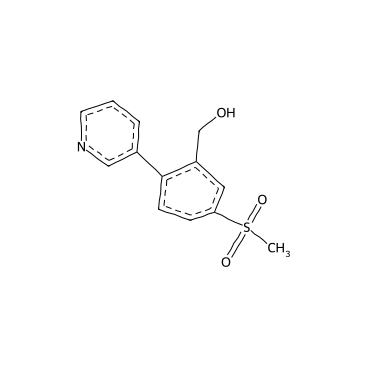 CS(=O)(=O)c1ccc(-c2cccnc2)c(CO)c1